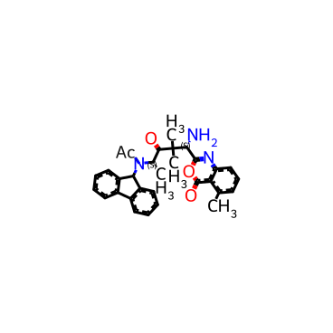 CC(=O)N(C1c2ccccc2-c2ccccc21)[C@@H](C)C(=O)C(C)(C)[C@H](N)c1nc2cccc(C)c2c(=O)o1